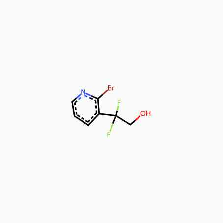 OCC(F)(F)c1cccnc1Br